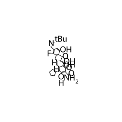 CN(Cc1cc(O)c2c(c1F)C[C@H]1C[C@H]3[C@H](C4CCCC4)C(O)=C(C(N)=O)C(=O)[C@@]3(O)C(O)=C1C2=O)CC(C)(C)C